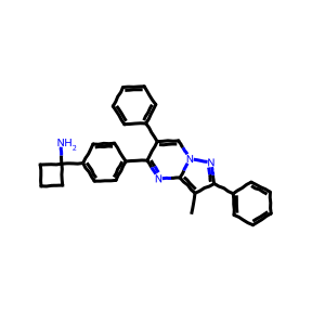 Cc1c(-c2ccccc2)nn2cc(-c3ccccc3)c(-c3ccc(C4(N)CCC4)cc3)nc12